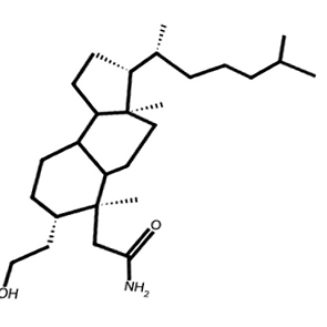 CC(C)CCC[C@@H](C)[C@H]1CCC2C3CC[C@@H](CCO)[C@](C)(CC(N)=O)C3CC[C@@]21C